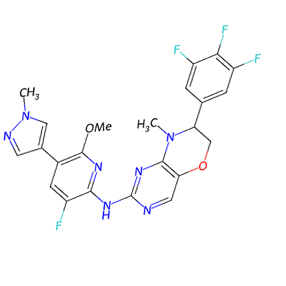 COc1nc(Nc2ncc3c(n2)N(C)C(c2cc(F)c(F)c(F)c2)CO3)c(F)cc1-c1cnn(C)c1